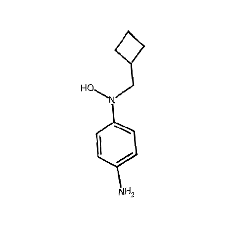 Nc1ccc(N(O)CC2CCC2)cc1